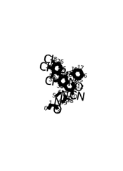 C=CC(=O)N1CCN(c2c(C#N)c(=O)n(-c3ccccc3C(C)C)c3cc(-c4ccc(Cl)c(Cl)c4C)c(Cl)cc23)[C@@H](C)C1